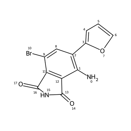 Nc1c(-c2ccco2)cc(Br)c2c1C(=O)NC2=O